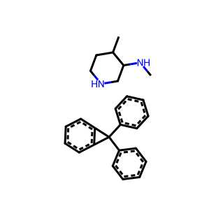 CNC1CNCCC1C.c1ccc(C2(c3ccccc3)c3ccccc32)cc1